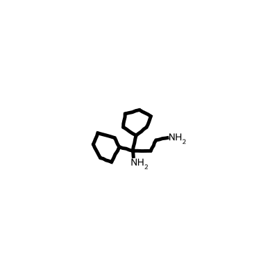 NCCC(N)(C1CCCCC1)C1CCCCC1